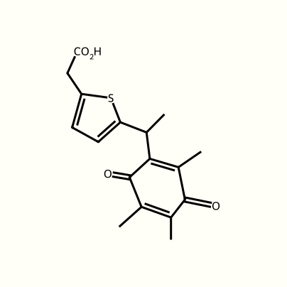 CC1=C(C)C(=O)C(C(C)c2ccc(CC(=O)O)s2)=C(C)C1=O